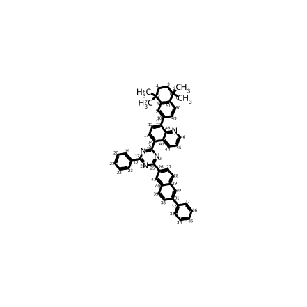 CC1(C)CCC(C)(C)c2cc(-c3ccc(-c4nc(-c5ccccc5)nc(-c5ccc6cc(-c7ccccc7)ccc6c5)n4)c4cccnc34)ccc21